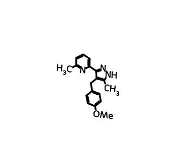 COc1ccc(Cc2c(-c3cccc(C)n3)n[nH]c2C)cc1